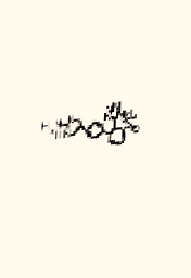 CS(=O)(=O)c1cccc(-c2ccc(C3CN=C(N)NC3)cc2)c1-c1nnn[nH]1